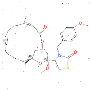 COc1ccc(CN2C(=O)SCC2[C@@]2(OC)C[C@H]3C[C@@H](CCC/C=C\CC/C(C)=C\C(=O)O3)O2)cc1